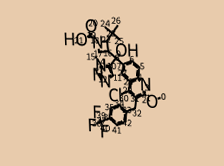 COc1nc2ccc(C(O)(c3cnnn3C)C3CN(C(=O)O)C3C(C)(C)C)cc2c(Cl)c1Cc1ccc(C(F)(F)F)cc1